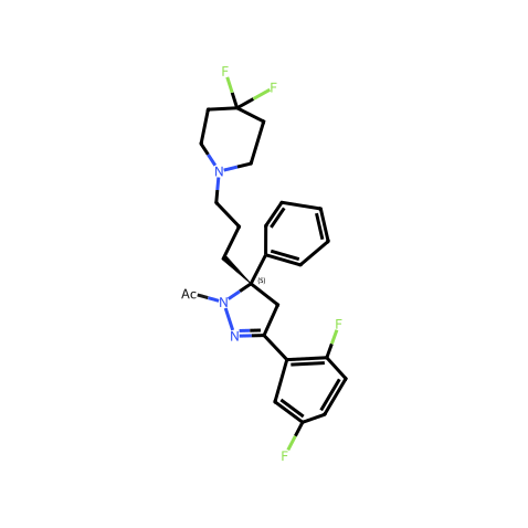 CC(=O)N1N=C(c2cc(F)ccc2F)C[C@@]1(CCCN1CCC(F)(F)CC1)c1ccccc1